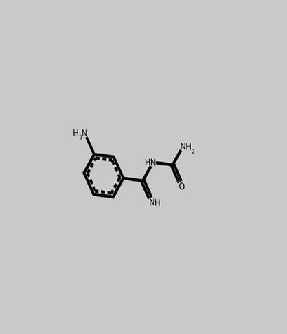 N=C(NC(N)=O)c1cccc(N)c1